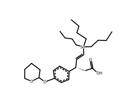 CCC[CH2][Sn](/[CH]=C/[C@H](CC(=O)O)c1ccc(OC2CCCCO2)cc1)([CH2]CCC)[CH2]CCC